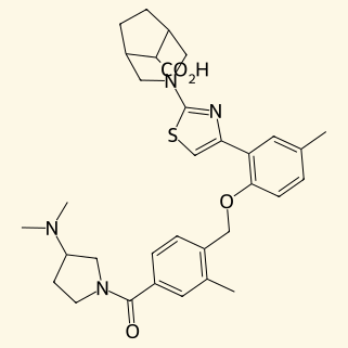 Cc1ccc(OCc2ccc(C(=O)N3CCC(N(C)C)C3)cc2C)c(-c2csc(N3CC4CCC(C3)C4C(=O)O)n2)c1